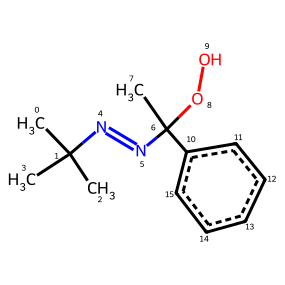 CC(C)(C)/N=N/C(C)(OO)c1ccccc1